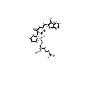 CCCN(CCCSC1=N/C(=C\c2sc3ccccc3[n+]2C)C=C(C)N1c1ccccc1)CCCN(C)C